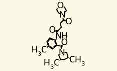 Cc1ccc(NC(=O)CCC(=O)N2CCOCC2)c(C(=O)N2C[C@H](C)C[C@H](C)C2)c1